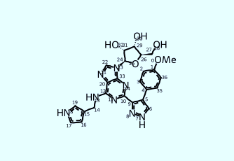 COc1ccc(-c2c[nH]nc2-c2nc(NCc3cc[nH]c3)c3ncn([C@@H]4O[C@H](CO)[C@@H](O)[C@H]4O)c3n2)cc1